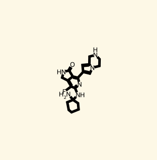 NC1(Nc2nc(-c3cc4n(c3)CCNC4)c3c(c2F)CNC3=O)CCCCC1